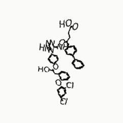 N=c1nn[nH]n1-c1ccccc1.O=C(O)CCC(=O)c1ccc(-c2ccccc2)cc1.O=C(O)Cc1ccccc1Oc1ccc(Cl)cc1Cl